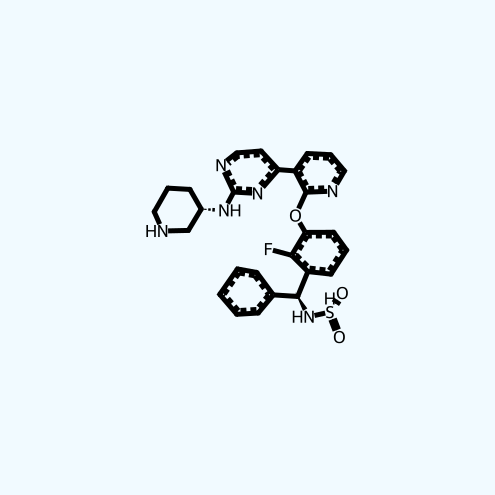 O=[SH](=O)N[C@@H](c1ccccc1)c1cccc(Oc2ncccc2-c2ccnc(N[C@H]3CCCNC3)n2)c1F